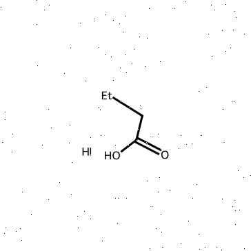 CCCC(=O)O.I